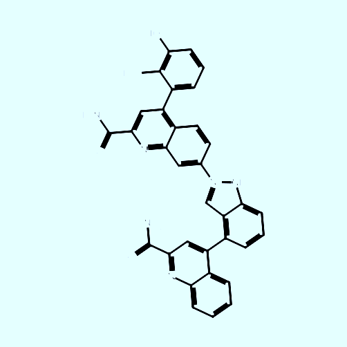 Cc1c(O)cccc1-c1cc(C(N)=O)nc2cc(-[n+]3cc4c(-c5cc(C(N)=O)nc6ccccc56)cccc4[nH]3)ccc12